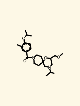 COCC1CN(C(C)C)CC2(CCN(C(=O)c3ccc(OC(C)C)c(C)c3)CC2)O1